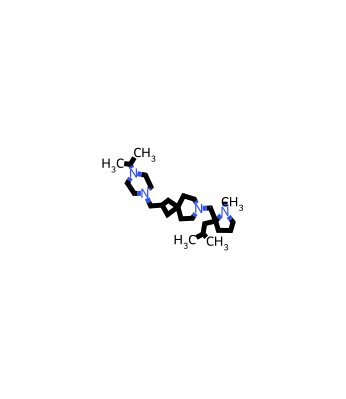 CC(C)CC1(CN2CCC3(CC2)CC(CN2CCN(C(C)C)CC2)C3)CCCN1C